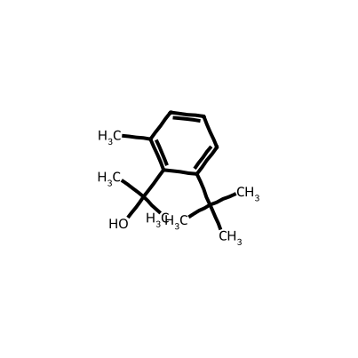 Cc1cccc(C(C)(C)C)c1C(C)(C)O